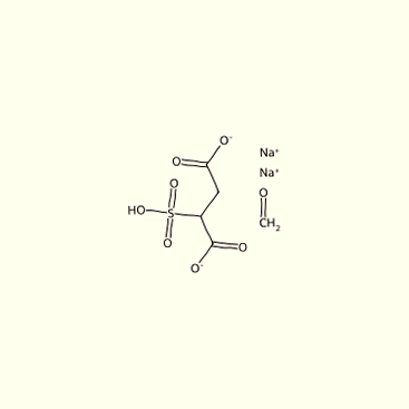 C=O.O=C([O-])CC(C(=O)[O-])S(=O)(=O)O.[Na+].[Na+]